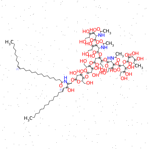 CCCCCCCC/C=C\CCCCCCCCCCCCCC(=O)N[C@@H](CO[C@@H]1OC(CO)[C@@H](O[C@@H]2OC(CO)[C@H](O[C@@H]3OC(CO)[C@H](O[C@@H]4OC(CO)[C@H](O)[C@H](O[C@@H]5OC(CO)[C@H](O)[C@H](O)C5O[C@H]5OC(C)[C@@H](O)C(O)[C@@H]5O)C4NC(C)=O)[C@H](O[C@@H]4OC(CO)[C@H](O)[C@H](O[C@H]5OC(CO)[C@H](O)[C@H](O)C5NC(C)=O)C4NC(C)=O)C3O)[C@H](O)C2O)[C@H](O)C1O)[C@H](O)/C=C/CCCCCCCCCCCCC